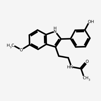 COc1ccc2[nH]c(-c3cccc(O)c3)c(CCNC(C)=O)c2c1